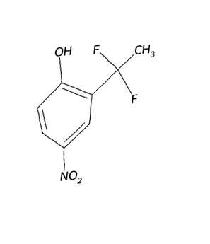 CC(F)(F)c1cc([N+](=O)[O-])ccc1O